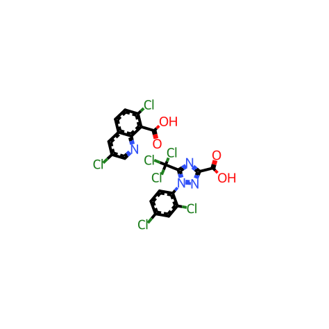 O=C(O)c1c(Cl)ccc2cc(Cl)cnc12.O=C(O)c1nc(C(Cl)(Cl)Cl)n(-c2ccc(Cl)cc2Cl)n1